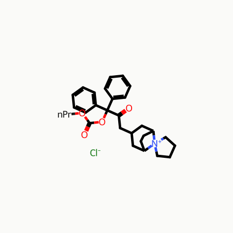 CCCOC(=O)OC(C(=O)CC1CC2CCC(C1)[N+]21CCCC1)(c1ccccc1)c1ccccc1.[Cl-]